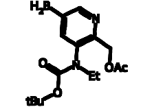 Bc1cnc(COC(C)=O)c(N(CC)C(=O)OC(C)(C)C)c1